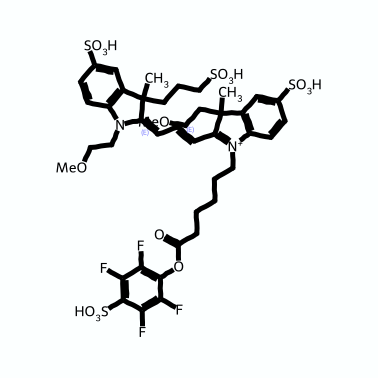 COCCN1/C(=C/C=C/C2=[N+](CCCCCC(=O)Oc3c(F)c(F)c(S(=O)(=O)O)c(F)c3F)c3ccc(S(=O)(=O)O)cc3C2(C)CCOC)C(C)(CCCS(=O)(=O)O)c2cc(S(=O)(=O)O)ccc21